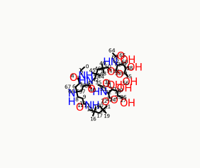 CCNC(=O)CCC(CCC(=O)NCC(C)(C)CC(C)(C)COC1OC(CO)C(O)C(O)C1NC(C)=O)(CCC(=O)NCC(C)(C)CC(C)(C)COC1OC(CO)C(O)C(O)C1NC(C)=O)NC